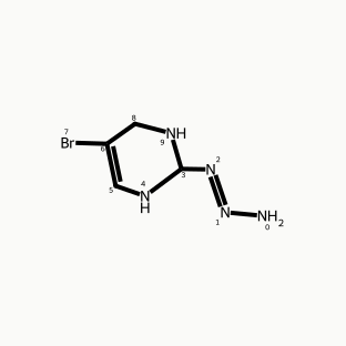 NN=NC1NC=C(Br)CN1